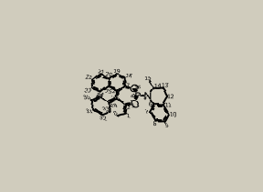 C/C=c1/op(N2c3ccccc3CC[C@@H]2C)oc2ccc3ccccc3c2/c1=C1\C=CC=CC1